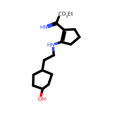 CCOC(=O)C(=N)C1=C(NCCC2CCC(O)CC2)CCC1